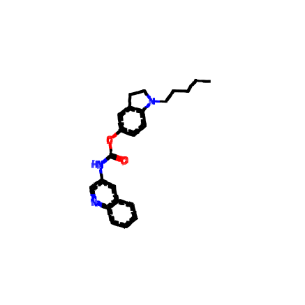 CCCCCN1CCc2cc(OC(=O)Nc3cnc4ccccc4c3)ccc21